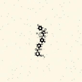 Cc1c(C(=O)Nc2ccc(Oc3ccnc(NC(=O)N4CCCC(N)C4)c3)c(F)c2)[nH]c(=O)n1-c1ccc(F)cc1